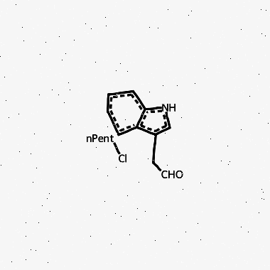 CCCCCCl.O=CCc1c[nH]c2ccccc12